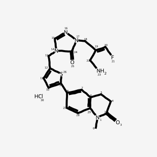 CN1C(=O)CCc2cc(-c3ccc(Cn4cnn(C/C(=C/F)CN)c4=O)s3)ccc21.Cl